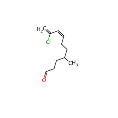 C=C(Cl)/C=C\CCC(C)CCC=O